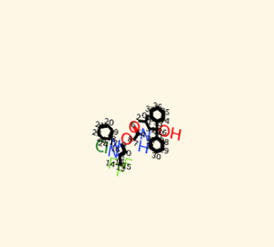 CC(C)[C@H](NC(=O)COc1cc(C(F)(F)F)nn1C1=CC=CCC1Cl)C(O)(c1ccccc1)c1ccccc1